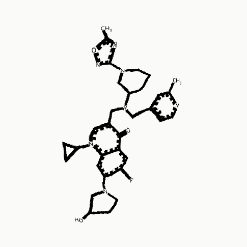 Cc1cc(CN(Cc2cn(C3CC3)c3cc(N4CCC(O)C4)c(F)cc3c2=O)C2CCCN(c3noc(C)n3)C2)ccn1